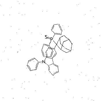 S=P(c1ccccc1)(c1ccccc1)C1(c2ccc3c(c2)c2ccccc2n3-c2ccccc2)C2CC3CC(C2)CC1C3